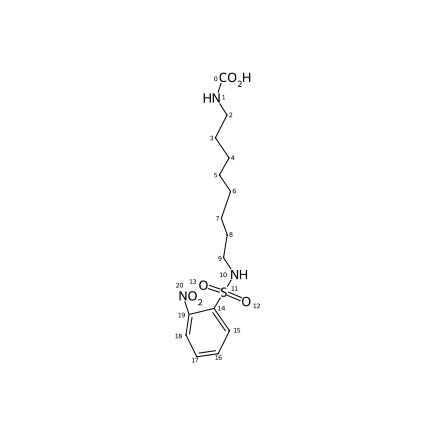 O=C(O)NCCCCCCCCNS(=O)(=O)c1ccccc1[N+](=O)[O-]